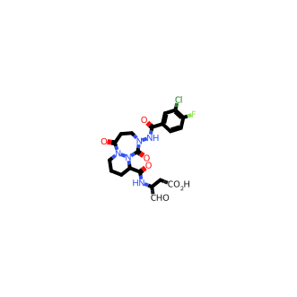 O=CC(CC(=O)O)NC(=O)C1CCCN2C(=O)CCN(NC(=O)c3ccc(F)c(Cl)c3)C(=O)N12